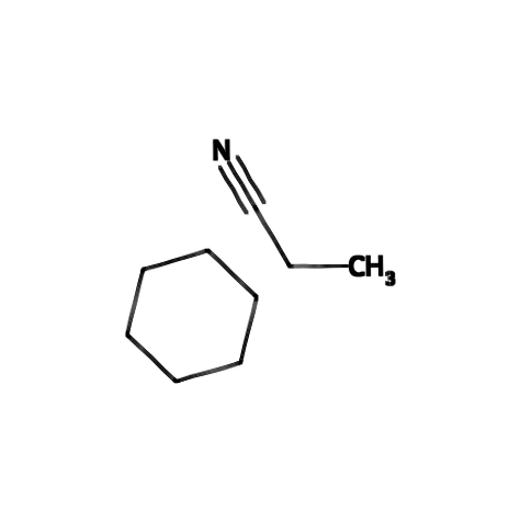 C1CCCCC1.CCC#N